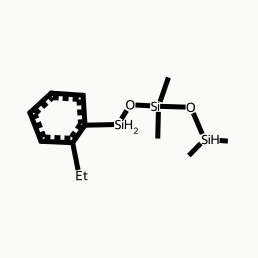 CCc1ccccc1[SiH2]O[Si](C)(C)O[SiH](C)C